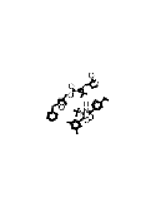 CC1(C)[C@H](/C=C2\CCSC2=O)[C@@H]1C(=O)OCc1coc(Cc2ccccc2)c1.CCc1ccc(C(=O)NN(C(=O)c2cc(C)cc(C)c2)C(C)(C)C)cc1